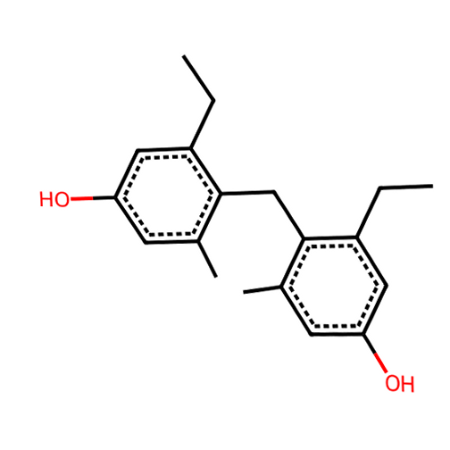 CCc1cc(O)cc(C)c1Cc1c(C)cc(O)cc1CC